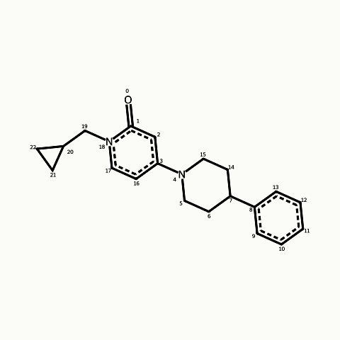 O=c1cc(N2CCC(c3ccccc3)CC2)ccn1CC1CC1